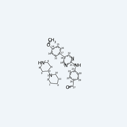 C1CCN(C2CCNCC2)CC1.COc1ccc(-c2cnc(Nc3ccc(C=O)cc3)nc2)cc1